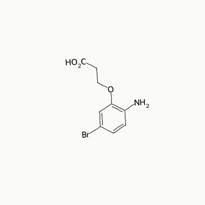 Nc1ccc(Br)cc1OCCC(=O)O